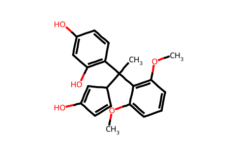 COc1cccc(OC)c1C(C)(c1ccc(O)cc1O)C1C=CC(O)=C1